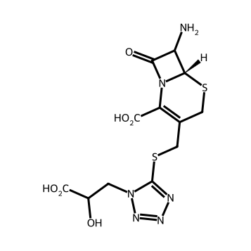 NC1C(=O)N2C(C(=O)O)=C(CSc3nnnn3CC(O)C(=O)O)CS[C@@H]12